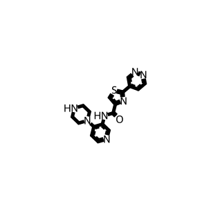 O=C(Nc1cnccc1N1CCNCC1)c1csc(-c2ccnnc2)n1